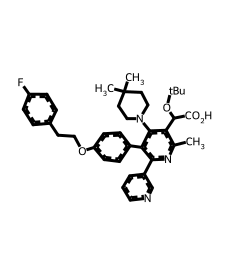 Cc1nc(-c2cccnc2)c(-c2ccc(OCCc3ccc(F)cc3)cc2)c(N2CCC(C)(C)CC2)c1C(OC(C)(C)C)C(=O)O